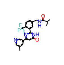 Cc1cncc(-c2cc(=O)[nH]c(-c3cc(CNC(=O)C(C)C)ccc3C(F)(F)F)n2)c1